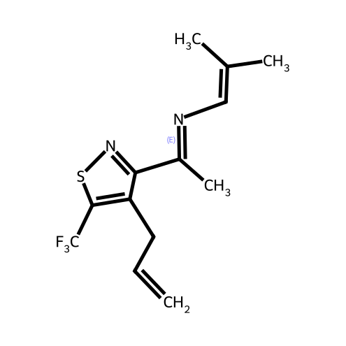 C=CCc1c(/C(C)=N/C=C(C)C)nsc1C(F)(F)F